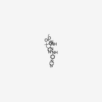 CCOC(=O)c1n[nH]c2c1C(C)(C)Cc1cnc(Nc3ccc(N4CCN(C)CC4)cc3)nc1-2